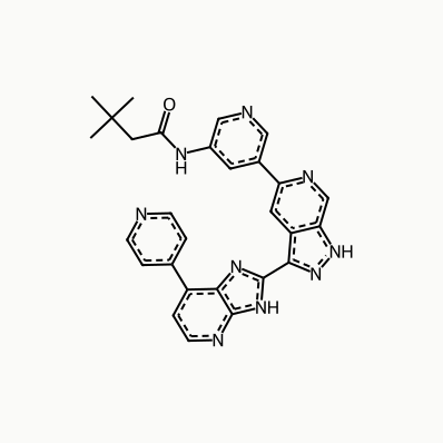 CC(C)(C)CC(=O)Nc1cncc(-c2cc3c(-c4nc5c(-c6ccncc6)ccnc5[nH]4)n[nH]c3cn2)c1